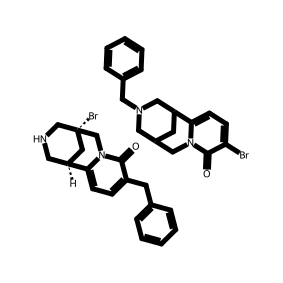 O=c1c(Br)ccc2n1CC1CC2CN(Cc2ccccc2)C1.O=c1c(Cc2ccccc2)ccc2n1C[C@]1(Br)CNC[C@H]2C1